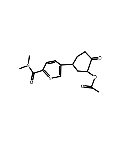 CC(=O)OC1CC(c2ccc(C(=O)N(C)C)nc2)CCC1=O